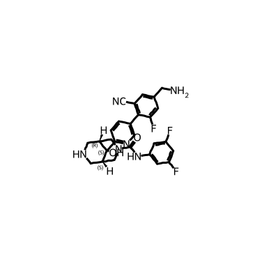 N#Cc1cc(CN)cc(F)c1-c1ccc([C@@]2(O)[C@@H]3CNC[C@H]2CN(C(=O)Nc2cc(F)cc(F)c2)C3)nc1